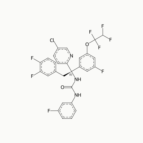 O=C(Nc1cccc(F)c1)N[C@@](Cc1ccc(F)c(F)c1)(c1cc(F)cc(OC(F)(F)C(F)F)c1)c1ccc(Cl)cn1